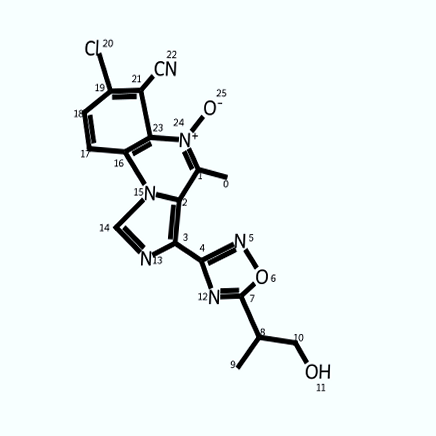 Cc1c2c(-c3noc(C(C)CO)n3)ncn2c2ccc(Cl)c(C#N)c2[n+]1[O-]